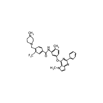 Cc1ccc(Oc2nc(-c3ccccc3)nc3ccn(C)c23)cc1NC(=O)c1ccc(CN2CCN(C)CC2)c(C(F)(F)F)c1